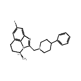 C[C@H]1CCc2cc(F)cc3nc(CN4CCC(c5ccccc5)CC4)n1c23